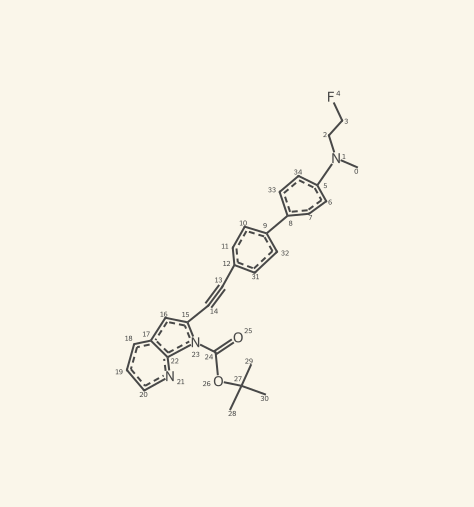 CN(CCF)c1ccc(-c2ccc(C#Cc3cc4cccnc4n3C(=O)OC(C)(C)C)cc2)cc1